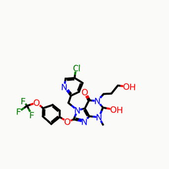 CN1c2nc(Oc3ccc(OC(F)(F)F)cc3)n(Cc3ccc(Cl)cn3)c2C(=O)N(CCCO)C1O